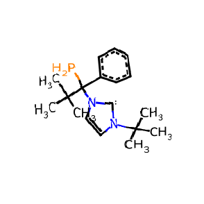 CC(C)(C)N1[C]N(C(P)(c2ccccc2)C(C)(C)C)C=C1